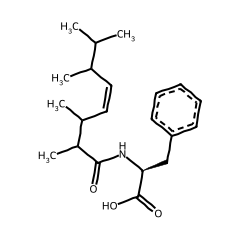 CC(C)C(C)/C=C\C(C)C(C)C(=O)N[C@@H](Cc1ccccc1)C(=O)O